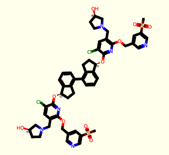 CS(=O)(=O)c1cncc(COc2nc(O[C@H]3CCc4c(-c5cccc6c5CC[C@@H]6Oc5nc(OCc6cncc(S(C)(=O)=O)c6)c(CN6CC[C@@H](O)C6)cc5Cl)cccc43)c(Cl)cc2CN2CC[C@@H](O)C2)c1